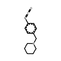 O=C=Nc1ccc(CN2CCCCC2)cc1